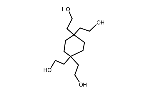 OCCC1(CCO)CCC(CCO)(CCO)CC1